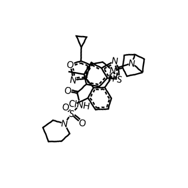 Cc1cc2nc(N3C4CC(NCc5c(-c6c(Cl)cccc6Cl)noc5C5CC5)CC3C4)sc2cc1C(=O)NS(=O)(=O)N1CCCCC1